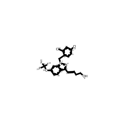 OCCC=Cc1nn(Cc2ccc(Cl)cc2Cl)c2cc(OC(F)(F)F)ccc12